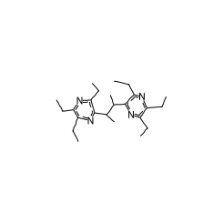 CCc1nc(CC)c(C(C)C(C)c2nc(CC)c(CC)nc2CC)nc1CC